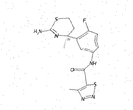 Cc1nnsc1C(=O)Nc1ccc(F)c([C@]2(C)CCSC(N)=N2)c1